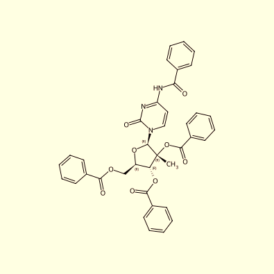 C[C@@]1(OC(=O)c2ccccc2)[C@H](OC(=O)c2ccccc2)[C@@H](COC(=O)c2ccccc2)O[C@H]1n1ccc(NC(=O)c2ccccc2)nc1=O